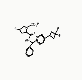 O=C(NC(c1ccccc1)c1ccc(C2CC(F)(F)C2)cn1)C1CC(F)CN1C(=O)O